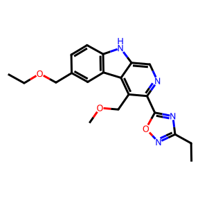 CCOCc1ccc2[nH]c3cnc(-c4nc(CC)no4)c(COC)c3c2c1